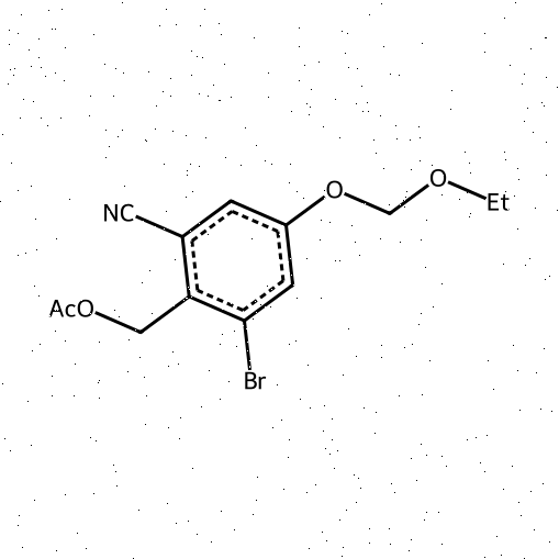 CCOCOc1cc(Br)c(COC(C)=O)c(C#N)c1